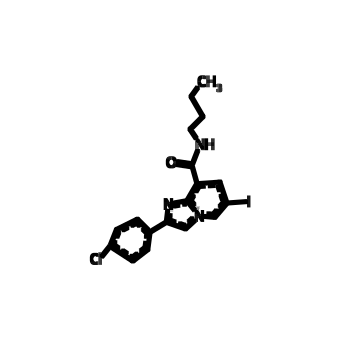 CCCCNC(=O)c1cc(I)cn2cc(-c3ccc(Cl)cc3)nc12